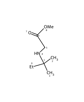 CCC(C)(C)NCC(=O)OC